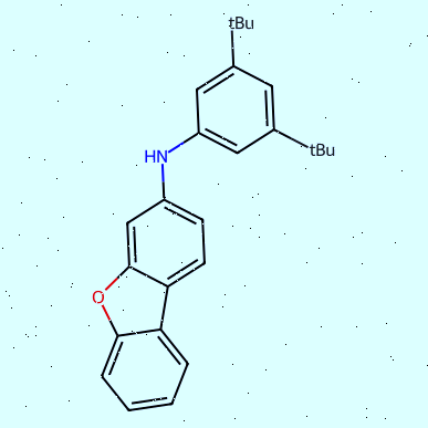 CC(C)(C)c1cc(Nc2ccc3c(c2)oc2ccccc23)cc(C(C)(C)C)c1